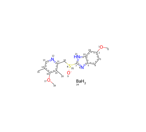 COc1ccc2nc([S@+]([O-])Cc3ncc(C)c(OC)c3C)[nH]c2c1.[BaH2]